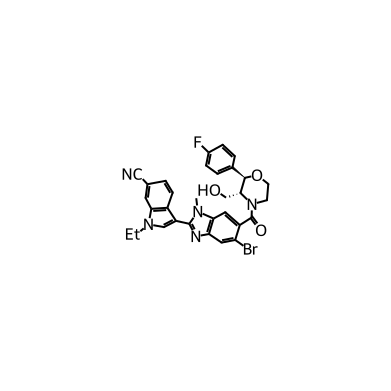 CCn1cc(-c2nc3cc(Br)c(C(=O)N4CCO[C@H](c5ccc(F)cc5)[C@H]4CO)cc3n2C)c2ccc(C#N)cc21